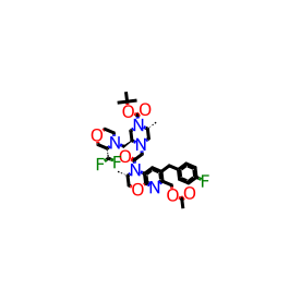 CC(=O)OCc1nc2c(cc1Cc1ccc(F)cc1)N(C(=O)CN1C[C@@H](C)N(C(=O)OC(C)(C)C)C[C@@H]1CN1CCOC[C@H]1C(F)F)[C@@H](C)CO2